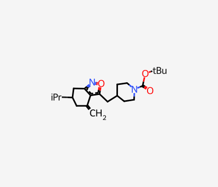 C=C1CC(C(C)C)Cc2noc(CC3CCN(C(=O)OC(C)(C)C)CC3)c21